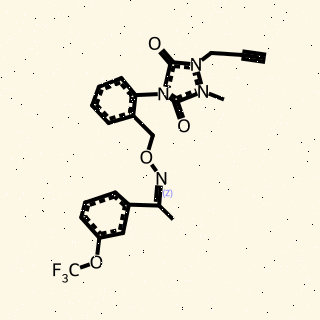 C#CCn1c(=O)n(-c2ccccc2CO/N=C(/C)c2cccc(OC(F)(F)F)c2)c(=O)n1C